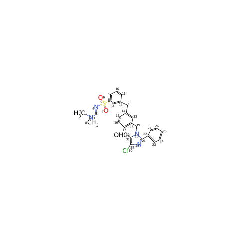 CN(C)C=NS(=O)(=O)c1cccc(Cc2cccc(Cn3c(-c4ccccc4)nc(Cl)c3C=O)c2)c1